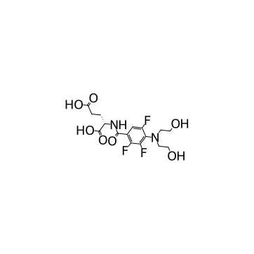 O=C(O)CC[C@H](NC(=O)c1cc(F)c(N(CCO)CCO)c(F)c1F)C(=O)O